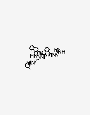 Cc1cccnc1CNCCC[C@H](NC(=O)c1ccc(CNC(C)c2ncc[nH]2)c2ccccc12)C(=O)N[C@@H](C)c1cccc2ccccc12